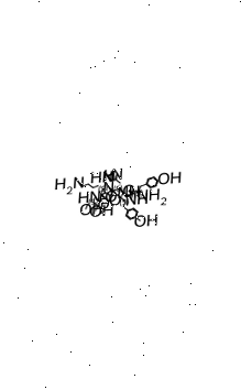 NCCCC[C@H](NC(=O)[C@H](Cc1c[nH]cn1)NC(=O)[C@H](Cc1ccc(O)cc1)NC(=O)[C@@H](N)Cc1ccc(O)cc1)C(=O)N[C@@H](CO)C(=O)O